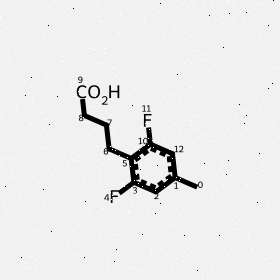 Cc1cc(F)c(CCCC(=O)O)c(F)c1